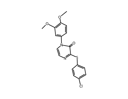 COc1ccc(-n2ccnc(Sc3ccc(Cl)cc3)c2=O)cc1OC